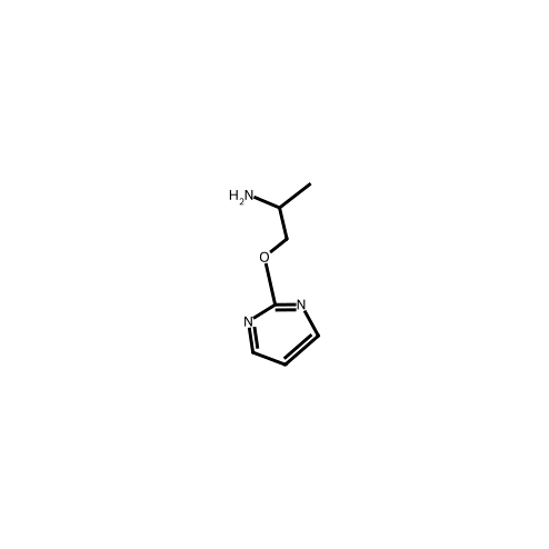 CC(N)COc1ncccn1